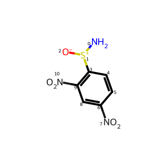 N[S+]([O-])c1ccc([N+](=O)[O-])cc1[N+](=O)[O-]